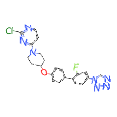 Fc1cc(-n2cnnn2)ccc1-c1ccc(OC2CCN(c3ccnc(Cl)n3)CC2)cc1